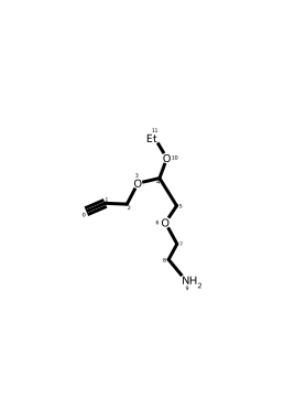 C#CCOC(COCCN)OCC